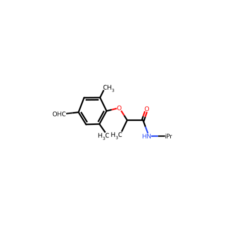 Cc1cc(C=O)cc(C)c1OC(C)C(=O)NC(C)C